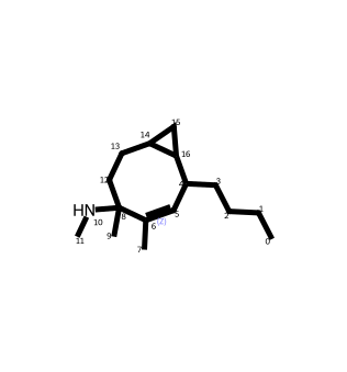 CCCCC1/C=C(/C)C(C)(NC)CCC2CC12